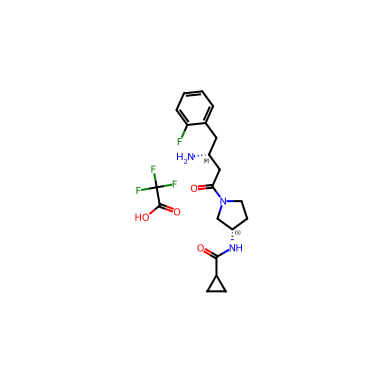 N[C@@H](CC(=O)N1CC[C@H](NC(=O)C2CC2)C1)Cc1ccccc1F.O=C(O)C(F)(F)F